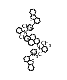 Cc1cccc(C)c1N(c1ccc(-c2cccc3c2sc2ccccc23)cc1)c1ccc2ccc3c(N(c4ccc(-c5cccc6c5sc5ccccc56)cc4)c4c(C)cccc4C)ccc4ccc1c2c43